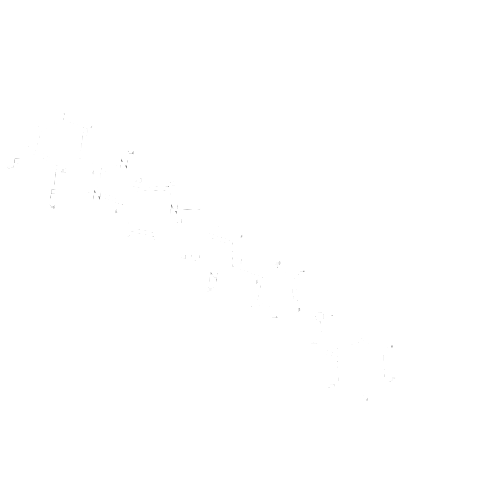 Fc1cccc(-c2nc3ccn(Cc4cc(-c5ccc(OCC6CCCCC6)cc5)no4)cc-3n2)c1F